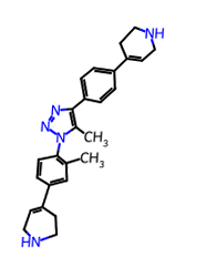 Cc1cc(C2=CCNCC2)ccc1-n1nnc(-c2ccc(C3=CCNCC3)cc2)c1C